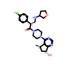 C[C@@H]1C[C@@H](O)c2ncnc(N3CCN(C(=O)[C@H](CNC4CCOC4)c4ccc(Cl)cc4)CC3)c21